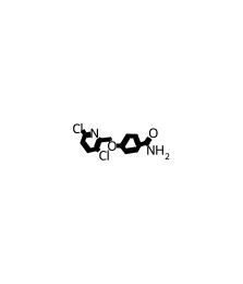 NC(=O)c1ccc(OCc2nc(Cl)ccc2Cl)cc1